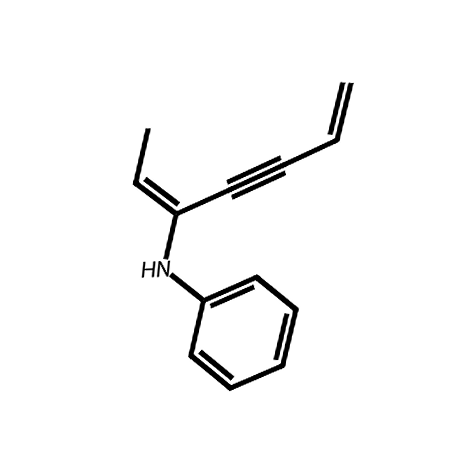 C=CC#C/C(=C\C)Nc1ccccc1